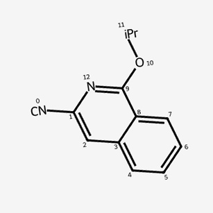 [C-]#[N+]c1cc2ccccc2c(OC(C)C)n1